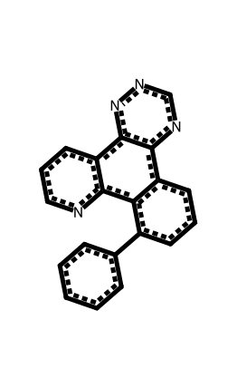 c1ccc(-c2cccc3c4ncnnc4c4cccnc4c23)cc1